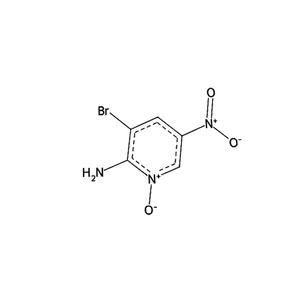 Nc1c(Br)cc([N+](=O)[O-])c[n+]1[O-]